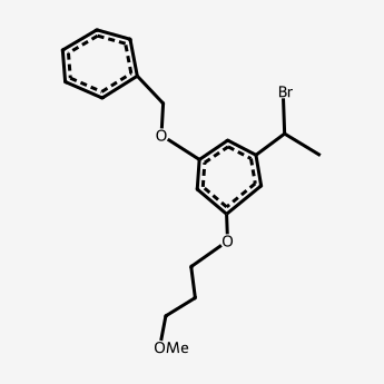 COCCCOc1cc(OCc2ccccc2)cc(C(C)Br)c1